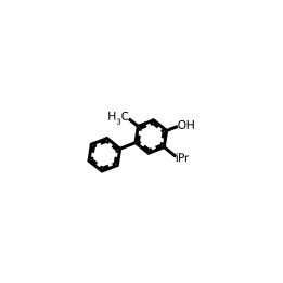 Cc1cc(O)c(C(C)C)cc1-c1ccccc1